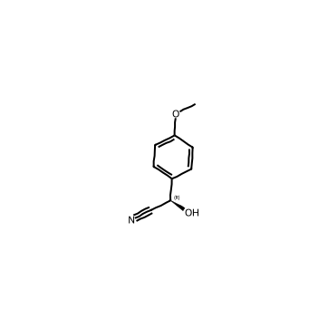 COc1ccc([C@@H](O)C#N)cc1